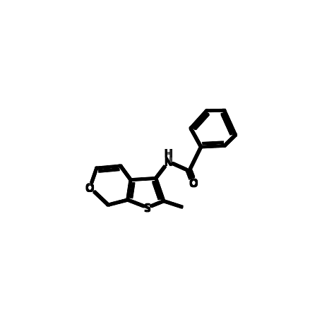 Cc1sc2c(c1NC(=O)c1ccccc1)C=COC2